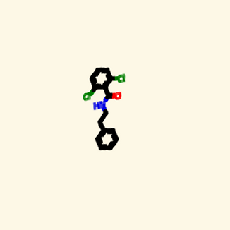 O=C(NCCc1ccccc1)c1c(Cl)cccc1Cl